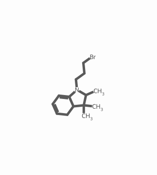 CC1N(CCCBr)C2=CC=CCC2C1(C)C